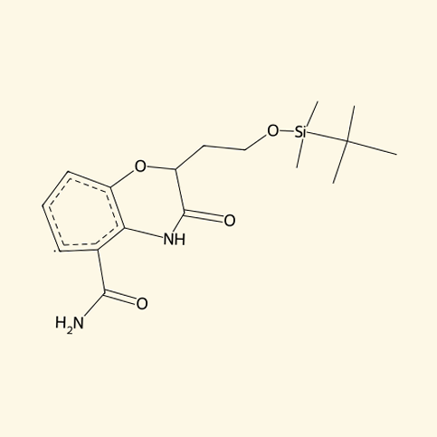 CC(C)(C)[Si](C)(C)OCCC1Oc2cc[c]c(C(N)=O)c2NC1=O